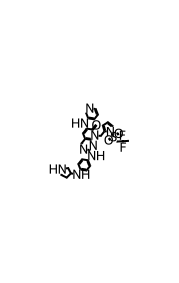 CC(F)(F)CS(=O)(=O)n1cccc1Cn1c(=O)c(Nc2cccnc2)cc2cnc(Nc3ccc(NC4CCNC4)cc3)nc21